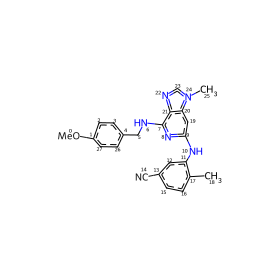 COc1ccc(CNc2nc(Nc3cc(C#N)ccc3C)cc3c2ncn3C)cc1